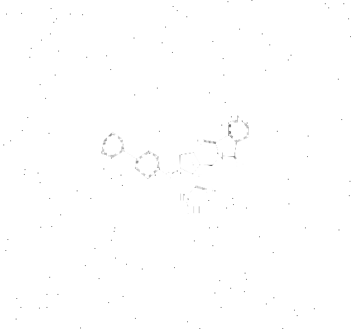 O=C(NO)[C@H]1[C@H](CN2C(=O)c3ccncc3C2=O)CC[C@@H]1Sc1ccc(-c2ccccc2)cc1